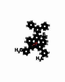 Cc1cccc(-c2ccc3c(c2)c2cc(-c4cccc(C)c4)ccc2n3-c2c(-c3ccccc3C(F)(F)F)cc(-c3nc(-c4ccccc4)cc(-c4ccccc4)n3)cc2-c2ccccc2C(F)(F)F)c1